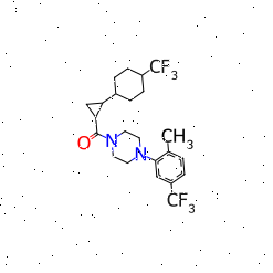 Cc1ccc(C(F)(F)F)cc1N1CCN(C(=O)C2CC2C2CCC(C(F)(F)F)CC2)CC1